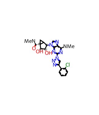 CNC(=O)[C@]12CC1[C@@H](n1cnc3c(NC)nc(-n4cc(-c5ccccc5Cl)nn4)nc31)[C@H](O)[C@@H]2O